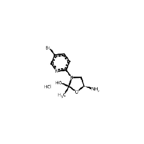 CC1(O)O[C@H](N)CN1c1ccc(Br)cn1.Cl